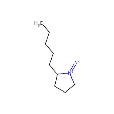 CCCCCC1CC[CH][N+]1=[N-]